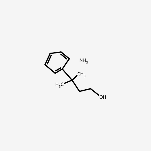 CC(C)(CCO)c1ccccc1.N